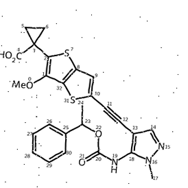 COc1c(C2(C(=O)O)CC2)sc2cc(C#Cc3cnn(C)c3NC(=O)OC(C)c3ccccc3)sc12